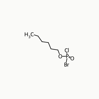 CCCCCCOP(=O)(Cl)Br